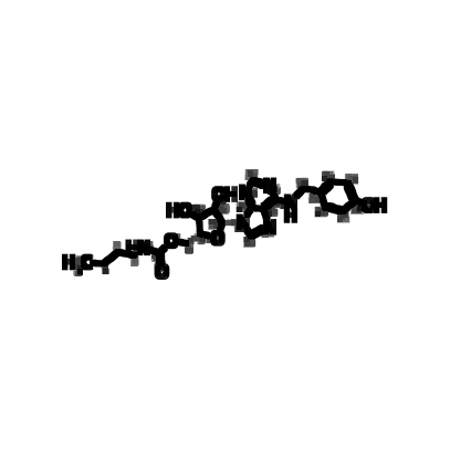 CCCCNC(=O)OC[C@H]1O[C@@H](n2cnc3c(NCc4ccc(O)cc4)ncnc32)C(O)C1O